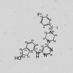 C[C@@H](c1ccc(F)cc1)N1CCN(c2cc(Nc3cccc4c3C[C@@H](O)C4)ncn2)CC1